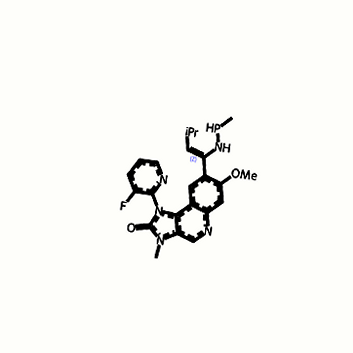 COc1cc2ncc3c(c2cc1/C(=C/C(C)C)NPC)n(-c1ncccc1F)c(=O)n3C